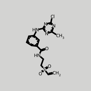 C=CS(=O)(=O)CCNC(=O)c1cccc(Nc2nc(C)nc(Cl)n2)c1